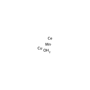 O.[Ce].[Cu].[Mn]